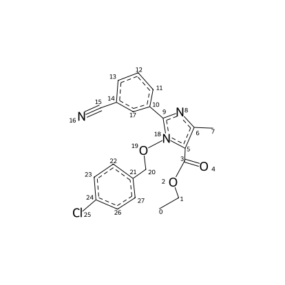 CCOC(=O)c1c(C)nc(-c2cccc(C#N)c2)n1OCc1ccc(Cl)cc1